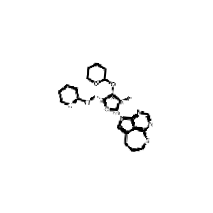 F[C@@H]1[C@H](OC2CCCCO2)[C@@H](COC2CCCCO2)O[C@H]1n1cc2c3c(ncnc31)SCCC2